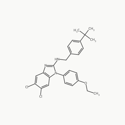 CCOc1ccc(-n2c(NCc3ccc(C(C)(C)C)cc3)nc3cc(Cl)c(Cl)cc32)cc1